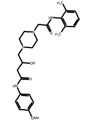 COc1ccc(NC(=O)CC(O)CN2CCN(CC(=O)Nc3c(C)cccc3C)CC2)cc1